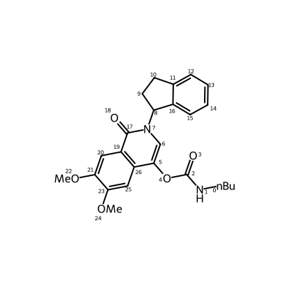 CCCCNC(=O)Oc1cn(C2CCc3ccccc32)c(=O)c2cc(OC)c(OC)cc12